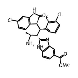 COC(=O)c1ccc2[nH]c([C@@H]([C@H](c3cccc(Cl)c3F)[C@@H]3C(=O)Nc4cc(Cl)ccc43)[C@H](C)N)nc2c1